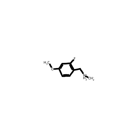 [CH2-][NH2+]Cc1ccc(OC)cc1F